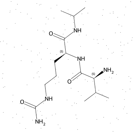 CC(C)NC(=O)[C@H](CCCNC(N)=O)NC(=O)[C@@H](N)C(C)C